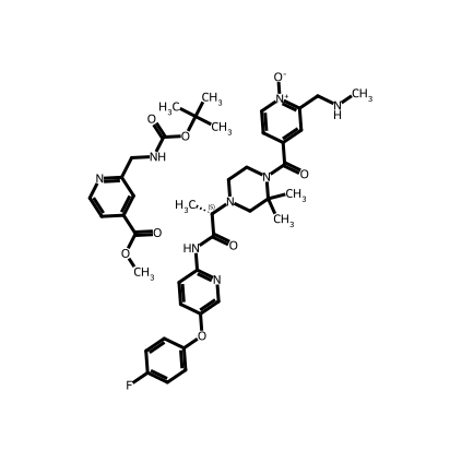 CNCc1cc(C(=O)N2CCN([C@@H](C)C(=O)Nc3ccc(Oc4ccc(F)cc4)cn3)CC2(C)C)cc[n+]1[O-].COC(=O)c1ccnc(CNC(=O)OC(C)(C)C)c1